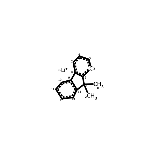 CC1(C)c2[c-]cccc2-c2ccccc21.[Li+]